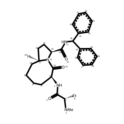 CC[C@H](NC)C(=O)N[C@H]1CCCC[C@H]2CC[C@@H](C(=O)NC(c3ccccc3)c3ccccc3)N2C1=O